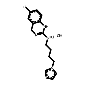 Cl.Cl.Clc1ccc2c(c1)CN=C(SCCCCn1ccnc1)N2